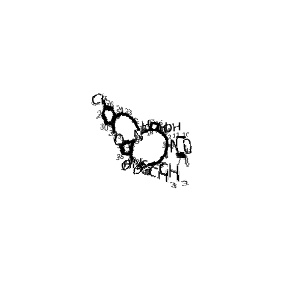 C[C@@H]1[C@@H](C)C[C@@H](N2CCOCC2)C[C@@H](O)[C@@H]2CC[C@H]2CN2CCCCc3cc(Cl)ccc3COc3ccc(cc32)C(=O)NS1(=O)=O